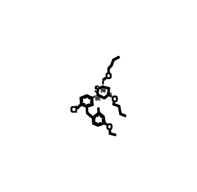 CCCCOC[C@@H]1C[C@H](OCCCC)C[C@H](c2ccc(Cl)c(Cc3ccc(OCC)cc3C)c2)S1